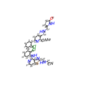 COc1nc(-c2cccc(-c3cccc(Nc4nccc5sc(CNCC#N)nc45)c3Cl)c2Cl)ccc1CNC[C@H]1CCC(=O)N1